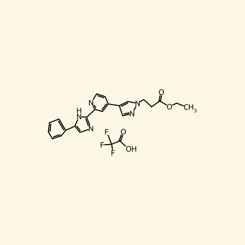 CCOC(=O)CCn1cc(-c2ccnc(-c3ncc(-c4ccccc4)[nH]3)c2)cn1.O=C(O)C(F)(F)F